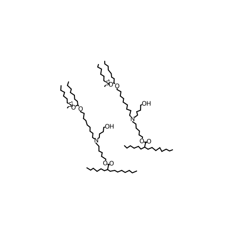 CCCCCCCCC(CCCCCC)C(=O)OCCCCCCN(CCCCO)CCCCCCCCCOC(CCCCCCC)O[Si](C)(C)CCCCCC.CCCCCCCCC(CCCCCC)C(=O)OCCCCCCN(CCCCO)CCCCCCCCCOC(CCCCCCC)O[Si](C)(C)CCCCCC